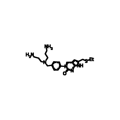 CCSCc1cc2cn(-c3ccc(CN(CCCN)CCCN)cc3)c(=O)nc2[nH]1